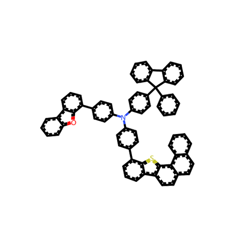 c1ccc(C2(c3ccc(N(c4ccc(-c5cccc6c5oc5ccccc56)cc4)c4ccc(-c5cccc6c5sc5c6ccc6ccc7ccccc7c65)cc4)cc3)c3ccccc3-c3ccccc32)cc1